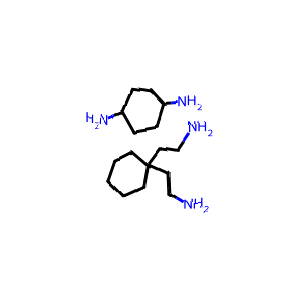 NC1CCC(N)CC1.NCCC1(CCN)CCCCC1